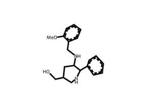 COc1ccccc1CNC1CC(CO)CNC1c1ccccc1